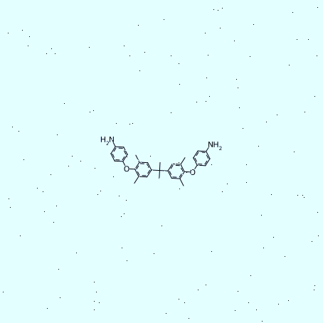 Cc1cc(C(C)(C)c2cc(C)c(Oc3ccc(N)cc3)c(C)c2)cc(C)c1Oc1ccc(N)cc1